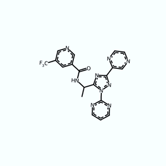 CC(NC(=O)c1cncc(C(F)(F)F)c1)c1nc(-c2cnccn2)nn1-c1ncccn1